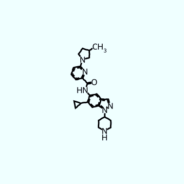 CC1CCN(c2cccc(C(=O)Nc3cc4cnn(C5CCNCC5)c4cc3C3CC3)n2)C1